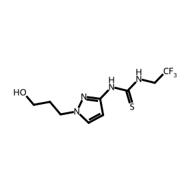 OCCCn1ccc(NC(=S)NCC(F)(F)F)n1